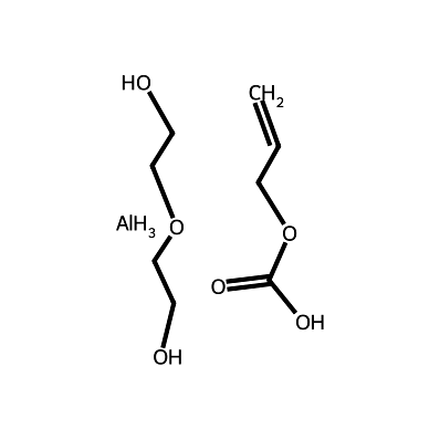 C=CCOC(=O)O.OCCOCCO.[AlH3]